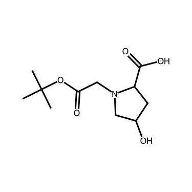 CC(C)(C)OC(=O)CN1CC(O)CC1C(=O)O